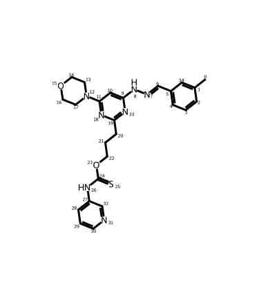 Cc1cccc(/C=N/Nc2cc(N3CCOCC3)nc(CCCOC(=S)Nc3cccnc3)n2)c1